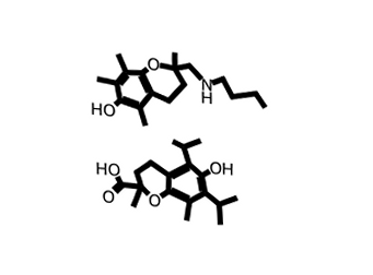 CCCCNCC1(C)CCc2c(C)c(O)c(C)c(C)c2O1.Cc1c2c(c(C(C)C)c(O)c1C(C)C)CCC(C)(C(=O)O)O2